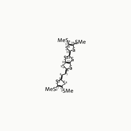 CSC1=C(SC)SC(=CC=C2SC3=C(S2)SC(=C2SC(SC)=C(SC)S2)S3)S1